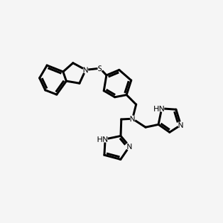 c1ccc2c(c1)CN(Sc1ccc(CN(Cc3cnc[nH]3)Cc3ncc[nH]3)cc1)C2